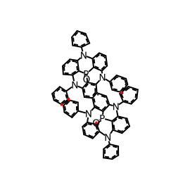 O=P12c3c4cccc3N(c3ccccc3)c3cc5c6c7c(cc5c(c31)N(c1ccccc1)c1cccc(c12)N4c1ccccc1)N(c1ccccc1)c1cccc2c1P7(=O)c1c(cccc1N6c1ccccc1)N2c1ccccc1